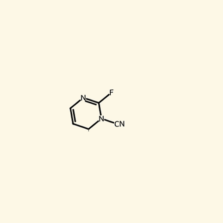 N#CN1[CH]C=CN=C1F